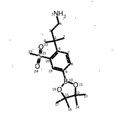 CC(C)(CCN)c1ccc(B2OC(C)(C)C(C)(C)O2)cc1S(C)(=O)=O